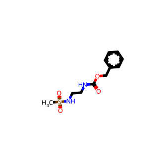 CS(=O)(=O)NCCNC(=O)OCc1ccccc1